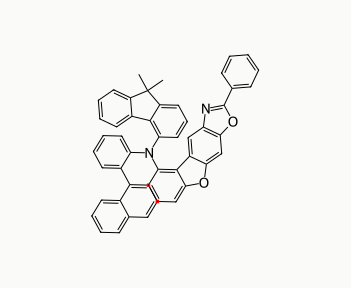 CC1(C)c2ccccc2-c2c(N(c3ccccc3-c3cccc4ccccc34)c3cccc4oc5cc6oc(-c7ccccc7)nc6cc5c34)cccc21